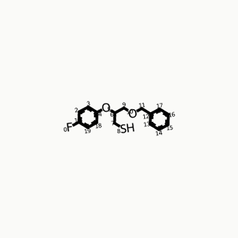 Fc1ccc(OC(CS)COCc2ccccc2)cc1